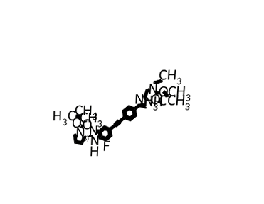 CCCN(Cc1nc(-c2ccc(C#Cc3cc(F)c4[nH]c([C@@H]5CCCN5C(=O)OC(C)(C)C)nc4c3)cc2)c[nH]1)C(=O)OC(C)(C)C